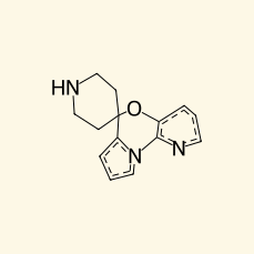 c1cnc2c(c1)OC1(CCNCC1)c1cccn1-2